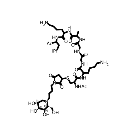 CC(=O)NC(CSC1CC(=O)N(CCCCN2C[C@H](O)[C@@H](O)[C@H](O)[C@H]2CO)C1=O)C(=O)NC(CCCCN)C(=O)NCC(=O)NCC(=O)NC(C)C(=O)NC(CCCCN)C(=O)NC(CC(C)C)C(C)=O